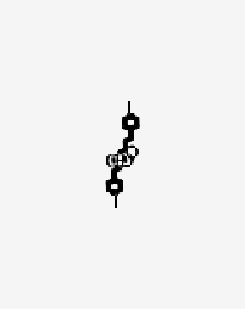 O=C(C=Cc1ccc(I)cc1)CS(=O)(=O)/C=C/c1ccc(I)cc1